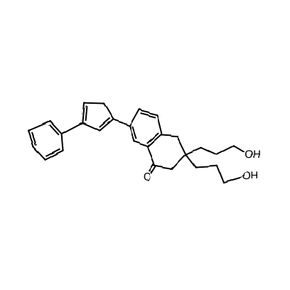 O=C1CC(CCCO)(CCCO)Cc2ccc(C3=CC(c4ccccc4)=CC3)cc21